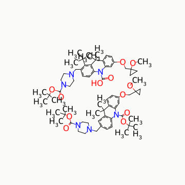 COC1(COc2ccc3c(c2)N(C(=O)O)c2ccc(CN4CCN(C(=O)OC(C)(C)C)CC4)c(C(C)(C)C)c2C3(C)C)CC1.COC1(COc2ccc3c(c2)N(C(=O)OC(C)(C)C)c2ccc(CN4CCN(C(=O)OC(C)(C)C)CC4)cc2C3(C)C)CC1